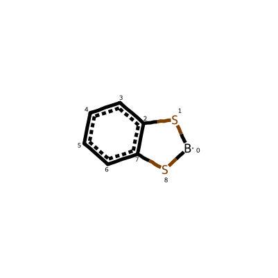 [B]1Sc2ccccc2S1